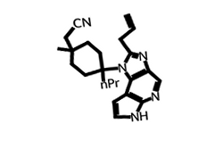 C=CCc1nc2cnc3[nH]ccc3c2n1C1(CCC)CCC(C)(CC#N)CC1